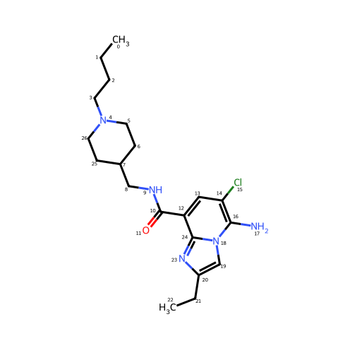 CCCCN1CCC(CNC(=O)c2cc(Cl)c(N)n3cc(CC)nc23)CC1